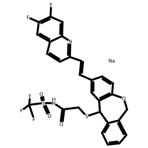 O=C(CSC1c2ccccc2COc2ccc(C=Cc3ccc4cc(F)c(F)cc4n3)cc21)NS(=O)(=O)C(F)(F)F.[Na]